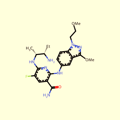 CC[C@H](N)[C@@H](C)Nc1nc(Nc2ccc3c(c2)c(OC)nn3CCOC)c(C(N)=O)cc1F